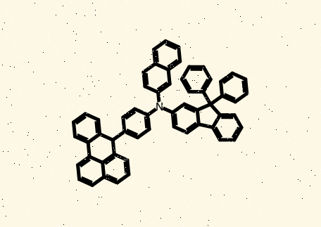 c1ccc(C2(c3ccccc3)c3ccccc3-c3ccc(N(c4ccc(C5c6ccccc6-c6cccc7cccc5c67)cc4)c4ccc5ccccc5c4)cc32)cc1